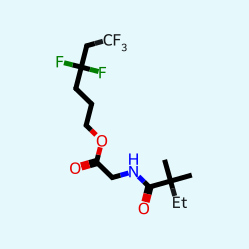 CCC(C)(C)C(=O)NCC(=O)OCCCC(F)(F)CC(F)(F)F